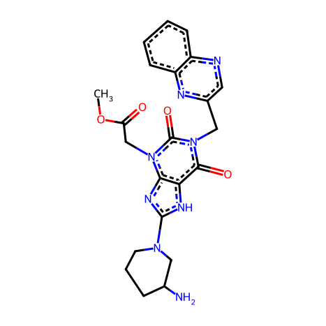 COC(=O)Cn1c(=O)n(Cc2cnc3ccccc3n2)c(=O)c2[nH]c(N3CCCC(N)C3)nc21